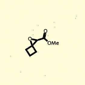 COC(=O)C1OC12CCC2